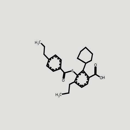 CCCc1ccc(C(=O)Sc2c(CCC)ccc(C(=O)O)c2C2CCCCC2)cc1